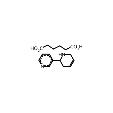 C1=CC[C@@H](c2cccnc2)NC1.O=C(O)CCCCC(=O)O